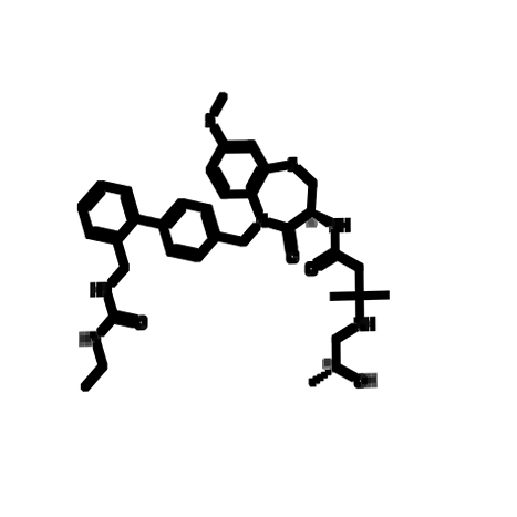 CCNC(=O)NCc1ccccc1-c1ccc(CN2C(=O)[C@H](NC(=O)CC(C)(C)NC[C@@H](C)O)CSc3cc(SC)ccc32)cc1